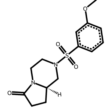 COc1cccc(S(=O)(=O)N2CCN3C(=O)CC[C@@H]3C2)c1